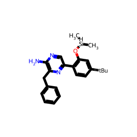 C[SiH](C)Oc1cc(C(C)(C)C)ccc1-c1cnc(N)c(Cc2ccccc2)n1